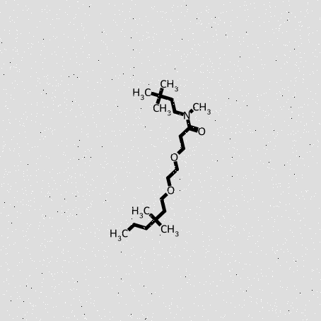 CCCC(C)(C)CCOCCOCCC(=O)N(C)CCC(C)(C)C